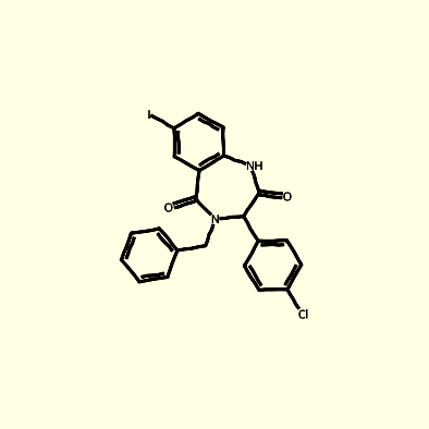 O=C1Nc2ccc(I)cc2C(=O)N(Cc2ccccc2)C1c1ccc(Cl)cc1